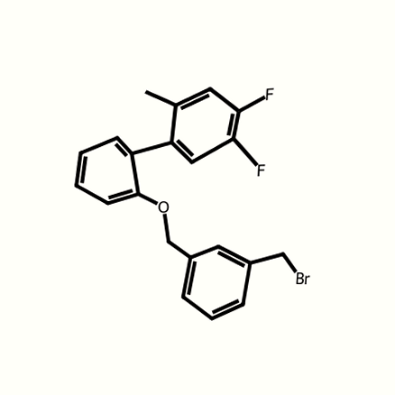 Cc1cc(F)c(F)cc1-c1ccccc1OCc1cccc(CBr)c1